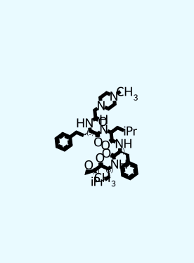 CC(C)CC(NC(=O)[C@H](CCc1ccccc1)NC(=O)CN1CCN(C)CC1)C(=O)N[C@@H](Cc1ccccc1)C(=O)N[C@@H](CC(C)C)C(=O)[C@@]1(C)CO1